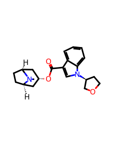 CN1[C@@H]2CC[C@H]1C[C@H](OC(=O)c1cn([C@H]3CCOC3)c3ccccc13)C2